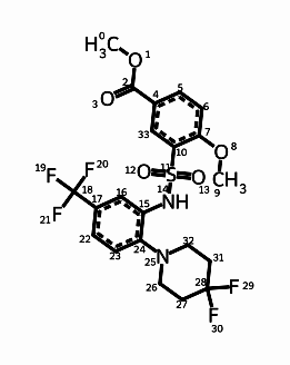 COC(=O)c1ccc(OC)c(S(=O)(=O)Nc2cc(C(F)(F)F)ccc2N2CCC(F)(F)CC2)c1